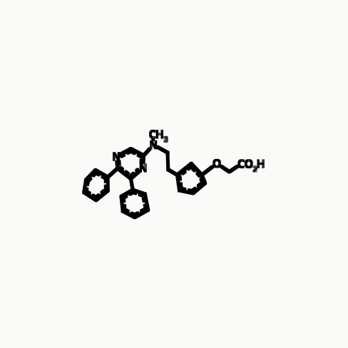 CN(CCc1cccc(OCC(=O)O)c1)c1cnc(-c2ccccc2)c(-c2ccccc2)n1